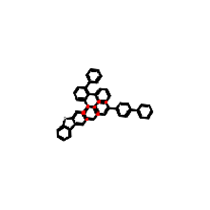 c1ccc(-c2ccc(-c3ccc(N(c4ccc5c(c4)sc4ccccc45)c4cccc(-c5ccccc5)c4-c4ccccc4-c4ccccc4)cc3)cc2)cc1